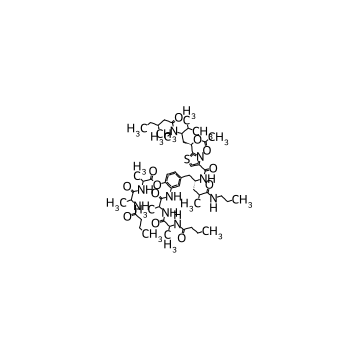 CCCNC(=O)C(C)C[C@H](Cc1ccc(OC(=O)C(C)NC(=O)C(C)NC(=O)CCC)c(NC(=O)C(C)NC(=O)C(C)NC(=O)CCC)c1)NC(=O)c1csc([C@@H](CC(C(C)C)N(C)C(=O)C[C@@H](C)CC)OC(C)=O)n1